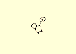 Cn1c(=O)c(=NO)nc(N2CC3CCC(CC3)C2)c2ccccc21